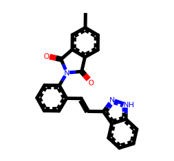 Cc1ccc2c(c1)C(=O)N(c1ccccc1C=Cc1n[nH]c3ccccc13)C2=O